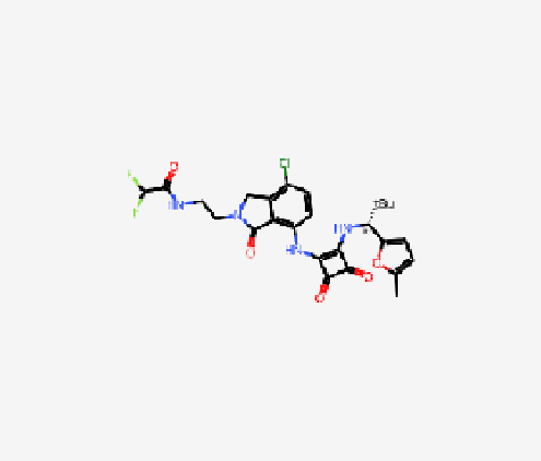 Cc1ccc([C@H](Nc2c(Nc3ccc(Cl)c4c3C(=O)N(CCNC(=O)C(F)F)C4)c(=O)c2=O)C(C)(C)C)o1